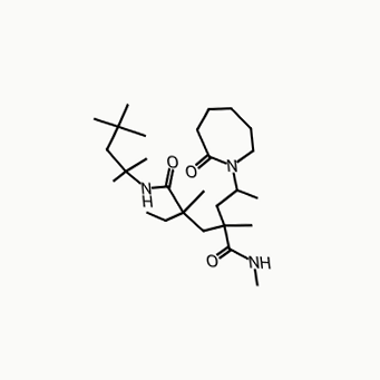 CCC(C)(CC(C)(CC(C)N1CCCCCC1=O)C(=O)NC)C(=O)NC(C)(C)CC(C)(C)C